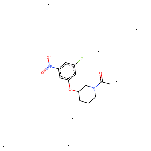 CC(=O)N1CCCC(Oc2cc(F)cc([N+](=O)[O-])c2)C1